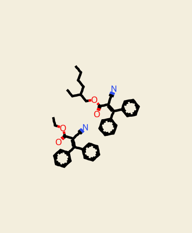 CCCCC(CC)COC(=O)C(C#N)=C(c1ccccc1)c1ccccc1.CCOC(=O)C(C#N)=C(c1ccccc1)c1ccccc1